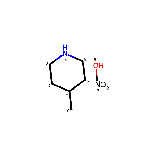 CC1CCNCC1.O=[N+]([O-])O